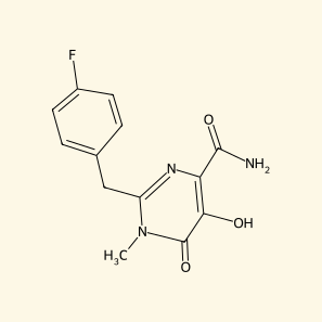 Cn1c(Cc2ccc(F)cc2)nc(C(N)=O)c(O)c1=O